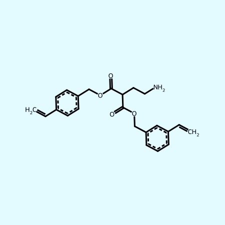 C=Cc1ccc(COC(=O)C(CCN)C(=O)OCc2cccc(C=C)c2)cc1